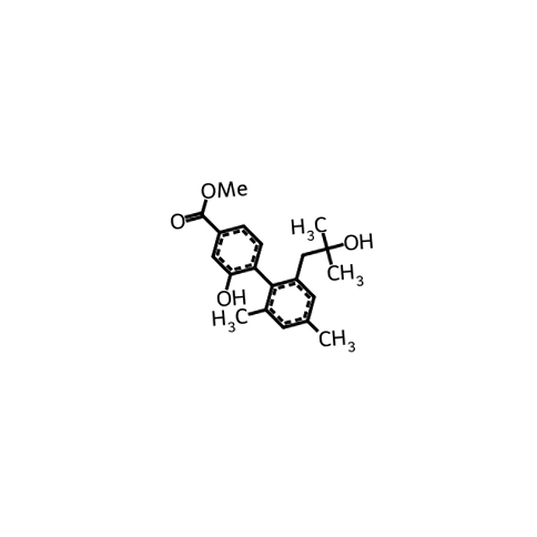 COC(=O)c1ccc(-c2c(C)cc(C)cc2CC(C)(C)O)c(O)c1